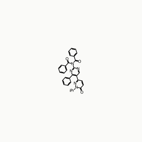 CC(C)n1nc(-c2cnc(N(C(=O)c3ccccc3)C(=O)c3ccccc3)nc2-c2ccccc2)ccc1=O